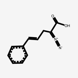 [N-]=[N+]=C(CC=Cc1ccccc1)C(=O)O